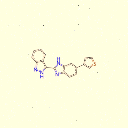 c1ccc2c(-c3nc4ccc(-c5ccsc5)cc4[nH]3)[nH]nc2c1